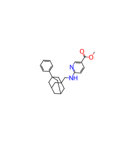 COC(=O)c1ccc(NCC23CC4CC(C2)CC(c2ccccc2)(C4)C3)nc1